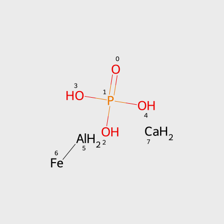 O=P(O)(O)O.[AlH2][Fe].[CaH2]